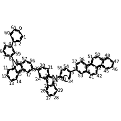 c1ccc(-c2cccc(-n3c4ccccc4c4cc(-c5ccc6c(c5)c5ccccc5n6-c5ccc(-c6ccc7c(ccc8c9ccccc9ccc78)c6)cc5)ccc43)c2)cc1